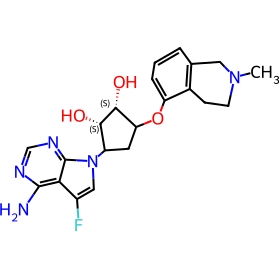 CN1CCc2c(cccc2OC2CC(n3cc(F)c4c(N)ncnc43)[C@H](O)[C@@H]2O)C1